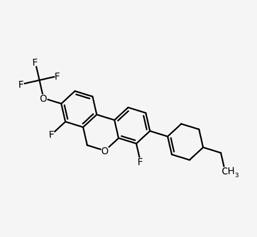 CCC1CC=C(c2ccc3c(c2F)OCc2c-3ccc(OC(F)(F)F)c2F)CC1